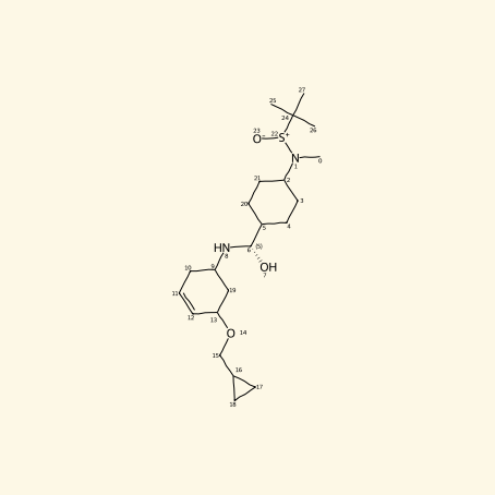 CN(C1CCC([C@H](O)NC2CC=CC(OCC3CC3)C2)CC1)[S+]([O-])C(C)(C)C